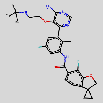 [2H]C([2H])([2H])NCCOc1c(N)ncnc1-c1cc(F)cc(NC(=O)c2ccc3c(c2F)OCC32CC2)c1C